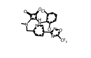 CN(Cc1ccc(-c2noc(C(F)(F)F)n2)cn1)c1c(Nc2c(Cl)cccc2Cl)c(=O)c1=O